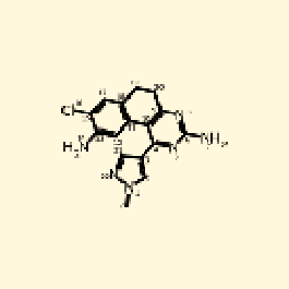 Cn1cc(-c2nc(N)nc3c2-c2cc(N)c(Cl)cc2CC3)cn1